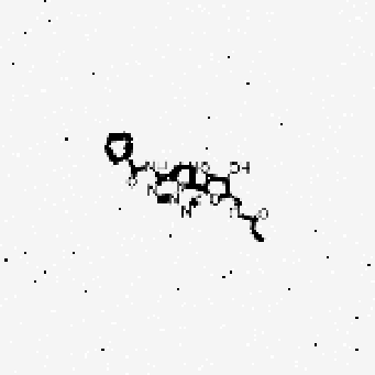 CCC(=O)OC[C@H]1O[C@@](C#N)(c2ccc3c(NC(=O)c4ccccc4)ncnn23)[C@H](O)[C@@H]1O